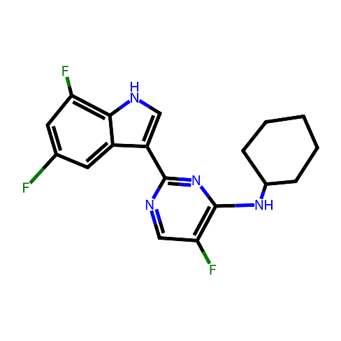 Fc1cc(F)c2[nH]cc(-c3ncc(F)c(NC4CCCCC4)n3)c2c1